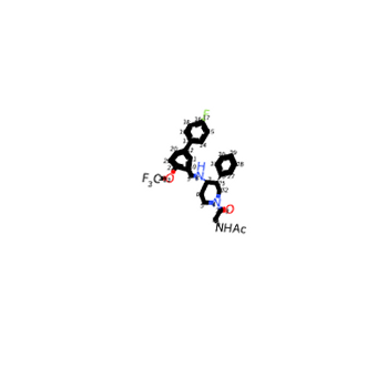 CC(=O)NCC(=O)N1CC[C@H](NCc2cc(-c3ccc(F)cc3)ccc2OC(F)(F)F)[C@H](c2ccccc2)C1